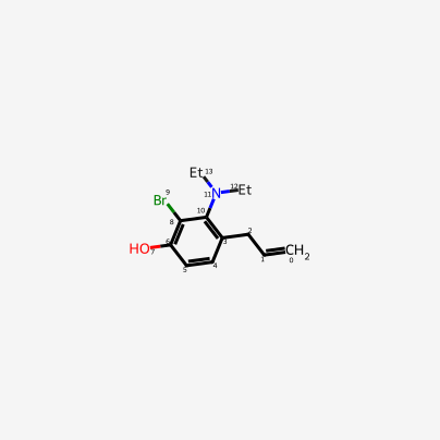 C=CCc1ccc(O)c(Br)c1N(CC)CC